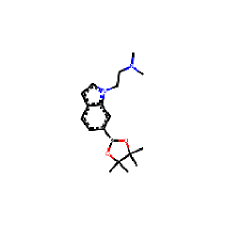 CN(C)CCn1ccc2ccc(B3OC(C)(C)C(C)(C)O3)cc21